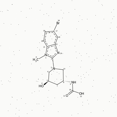 Cn1c(N2C[C@H](O)C[C@@H](NC(=O)O)C2)nc2cc(Br)ccc21